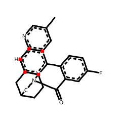 Cc1ccc(NC2CC3CCC2N(C(=O)c2cc(F)ccc2-c2ncccn2)C3)nc1